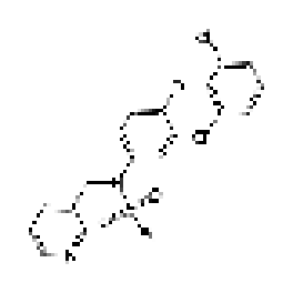 CCS(=O)(=O)N(Cc1cccnc1)c1ccc(Oc2c(Cl)cccc2Cl)cc1